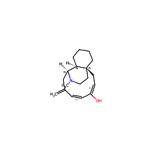 C=C1/C=C\C(O)=C/C[C@]23CCCC[C@@H]2[C@H](C1)N(C)CC3